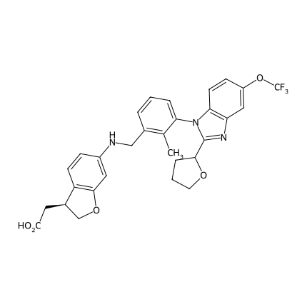 Cc1c(CNc2ccc3c(c2)OC[C@H]3CC(=O)O)cccc1-n1c(C2CCCO2)nc2cc(OC(F)(F)F)ccc21